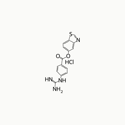 Cl.N=C(N)Nc1ccc(C(=O)Oc2ccc3scnc3c2)cc1